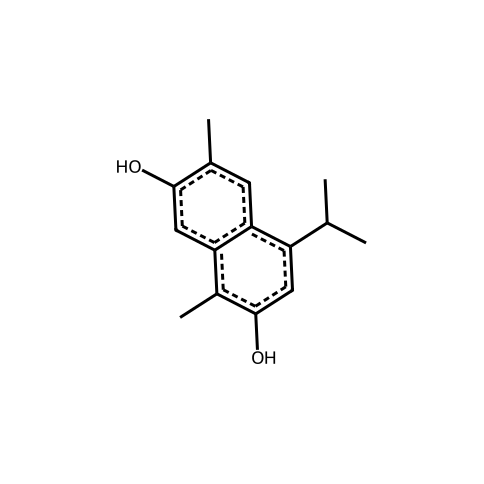 Cc1cc2c(C(C)C)cc(O)c(C)c2cc1O